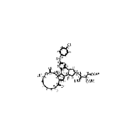 CC[C@H]1CCCC[C@@H](C)C(=O)C2=CC3C(c4nc(Nc5ccc(Cl)cc5)sc4C4C[C@@H](OC(O)[C@H](COC)OC)C[C@H]43)[C@@H]2CC(=O)O1